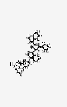 CC1(C)c2ccccc2-c2ccc(-c3ccc(-c4cc(-c5ccccc5)nc(-c5cccc6ccccc56)n4)c4ccccc34)cc21